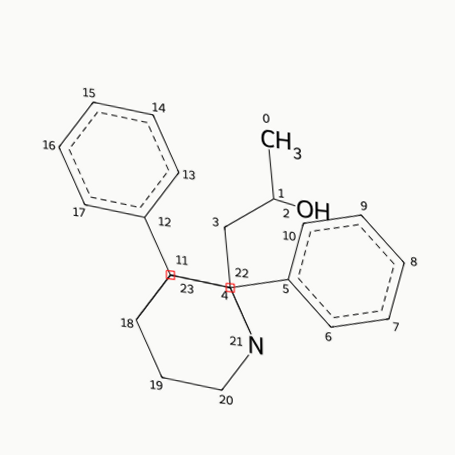 CC(O)CC1(c2ccccc2)C(c2ccccc2)C2CCN1CC2